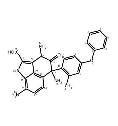 Cc1cc(Oc2ccccc2)ccc1C1(N)C(=O)C(N)c2c(C(=O)O)sc3c(N)ccc1c23